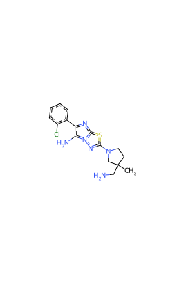 CC1(CN)CCN(c2nn3c(N)c(-c4ccccc4Cl)nc3s2)C1